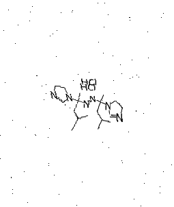 CC(C)CC(C)(N=NC(C)(CC(C)C)N1C=NCC1)N1C=NCC1.Cl.Cl